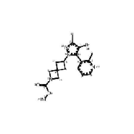 CCCCOC(=O)N1CC2(CC(n3nc(C)c(Br)c3-c3cccnc3C)C2)C1